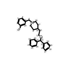 Fc1cccc(CN2CCC(CCOC(c3ccccc3)c3ccccc3)CC2)c1